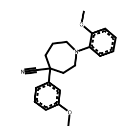 COc1cccc(C2(C#N)CCCN(c3ccccc3OC)CC2)c1